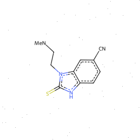 CNCCn1c(=S)[nH]c2ccc(C#N)cc21